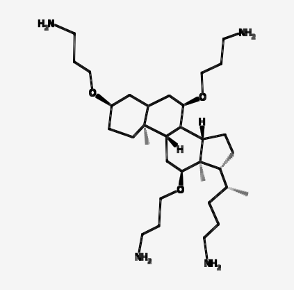 C[C@H](CCCN)[C@H]1CC[C@H]2C3[C@H](OCCCN)CC4C[C@H](OCCCN)CC[C@]4(C)[C@H]3C[C@H](OCCCN)[C@]12C